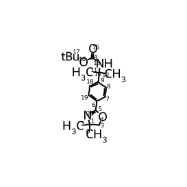 CC1(C)COC(c2ccc(C(C)(C)NC(=O)OC(C)(C)C)cc2)=N1